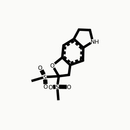 CS(=O)(=O)C1(S(C)(=O)=O)Cc2cc3c(cc2O1)CCN3